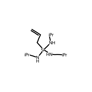 C=CC[Si](NC(C)C)(NC(C)C)NC(C)C